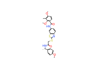 COc1ccc([C@H](C)NC(=O)CSc2nc3ccc(NC(=O)c4ccc(OC)c(C)c4OC)cc3s2)cc1